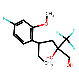 CCC(CC(O)(CO)C(F)(F)F)c1ccc(F)cc1OC